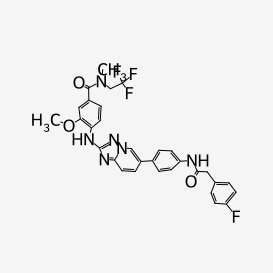 COc1cc(C(=O)N(C)CC(F)(F)F)ccc1Nc1nc2ccc(-c3ccc(NC(=O)Cc4ccc(F)cc4)cc3)cn2n1